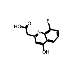 O=C(O)Cc1cc(O)c2cccc(F)c2n1